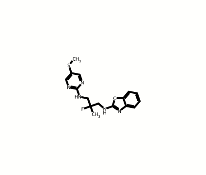 CSc1cnc(NCC(C)(F)CNc2nc3ccccc3o2)nc1